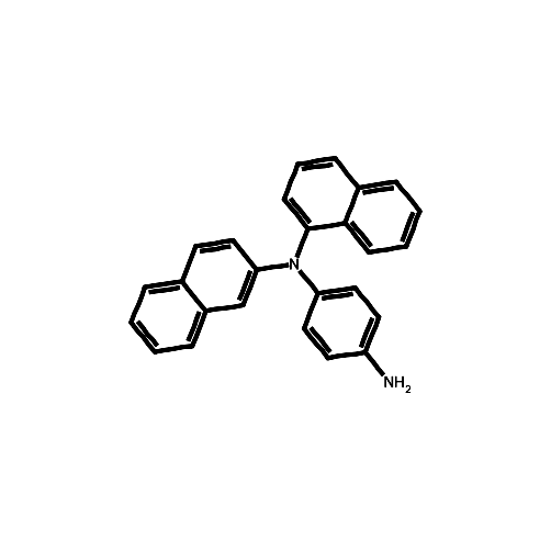 Nc1ccc(N(c2ccc3ccccc3c2)c2cccc3ccccc23)cc1